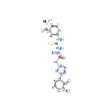 Cc1ccc(NC(=S)NNC(=O)Cn2nnc(-c3cccc(Cl)c3Cl)n2)cc1Cl